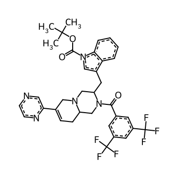 CC(C)(C)OC(=O)n1cc(CC2CN3CC(c4cnccn4)=CCC3CN2C(=O)c2cc(C(F)(F)F)cc(C(F)(F)F)c2)c2ccccc21